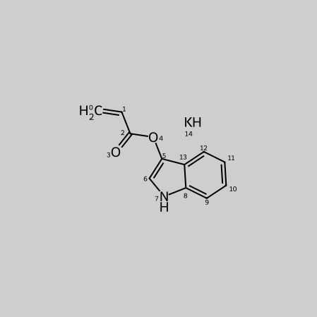 C=CC(=O)Oc1c[nH]c2ccccc12.[KH]